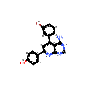 Nc1ncnc2nc(-c3ccc(O)cc3)cc(-c3cccc(Br)c3)c12